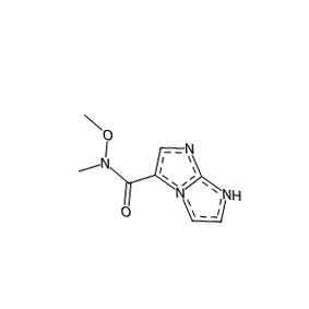 CON(C)C(=O)c1cnc2[nH]ccn12